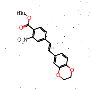 CC(C)(C)OC(=O)c1ccc(/C=C/c2ccc3c(c2)OCCO3)cc1[N+](=O)[O-]